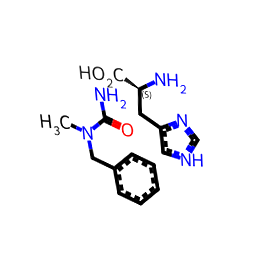 CN(Cc1ccccc1)C(N)=O.N[C@@H](Cc1c[nH]cn1)C(=O)O